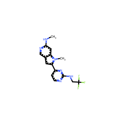 CNc1cc2c(cn1)cc(-c1ccnc(NCC(F)(F)F)n1)n2C